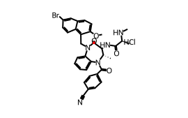 CN[C@@H](C)C(=O)N[C@@H]1C(=O)N(Cc2c(OC)ccc3cc(Br)ccc23)c2ccccc2N(C(=O)c2ccc(C#N)cc2)[C@H]1C.Cl